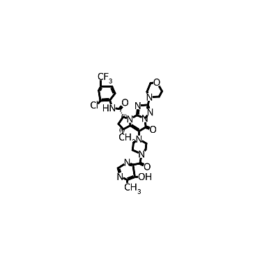 Cc1ncnc(C(=O)N2CCN(c3c4n(c5nc(N6CCOCC6)nn5c3=O)[C@@H](C(=O)Nc3ccc(C(F)(F)F)cc3Cl)C[C@H]4C)CC2)c1O